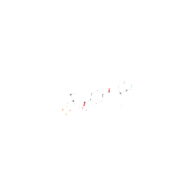 CCC(C)(OC(=O)C1CCC(C(=O)OC(C)(CS(=O)(=O)O)C(F)(F)F)CC1)C(F)(F)F